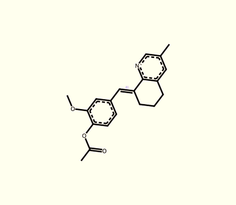 COc1cc(/C=C2\CCCc3cc(C)cnc32)ccc1OC(C)=O